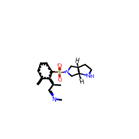 C=c1cccc(S(=O)(=O)N2C[C@@H]3CCN[C@@H]3C2)/c1=C(C)/C=N\C